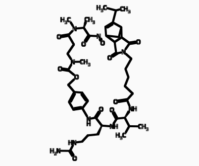 CC(C)C1=CC2CC1C1C(=O)N(CCCCCC(=O)N[C@H](C(=O)N[C@@H](CCCNC(N)=O)C(=O)Nc3ccc(COC(=O)N(C)CCC(=O)N(C)[C@@H](C)C(=O)N=O)cc3)C(C)C)C(=O)C21